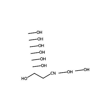 CO.CO.CO.CO.CO.CO.CO.CO.N#CCCO